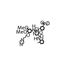 COc1cc(Nc2ncc(C(=O)Nc3c(C)cccc3C)c(Oc3ccc(C(=O)N4CCCC4)cc3Cl)n2)cc(OCCCN2CCN(C)CC2)c1OC